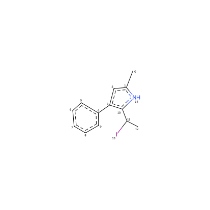 Cc1cc(-c2ccccc2)c(C(C)I)[nH]1